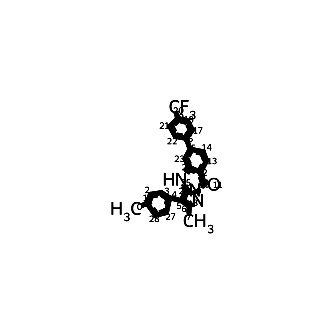 Cc1ccc(-c2c(C)nn3c(=O)c4ccc(-c5ccc(C(F)(F)F)cc5)cc4[nH]c23)cc1